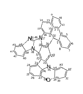 c1ccc(-c2ccccc2C2c3ccccc3-n3c4c2cc2c(c5cccc6oc7ccccc7n2c65)c4n2c4ccccc4nc32)cc1